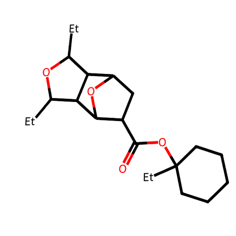 CCC1OC(CC)C2C3OC(CC3C(=O)OC3(CC)CCCCC3)C12